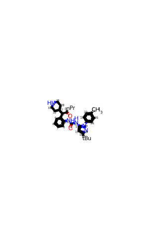 CCCC(=O)C(c1ccccc1NC(=O)Nc1cc(C(C)(C)C)nn1-c1ccc(C)cc1)C1CCNCC1